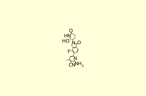 Cc1cc(-c2ccc3c(c2F)CN(C2CCC(=O)NC2O)C3=O)nc(N)c1C#N